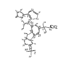 C[C](C)=[Zr+2]([C]1=C(c2ccsc2)C=CC1)[c]1cc(C(C)(C)C)cc2c1Cc1ccc(C(C)(C)C)cc1-2.[Cl-].[Cl-]